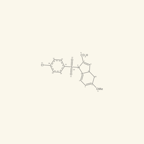 COC1=CC=C2C(C=C(C(=O)O)N2S(=O)(=O)c2ccc(Cl)cc2)C1